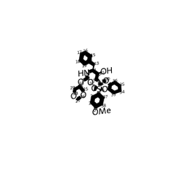 COc1ccc(S(=O)(=O)N(C[C@H](O)[C@H](Cc2ccccc2)NC(=O)OC2COCOC2)OC2CCCCC2)cc1